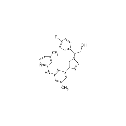 Cc1cc(Nc2cc(C(F)(F)F)ccn2)nc(-c2cn(C(CO)c3ccc(F)cc3)nn2)c1